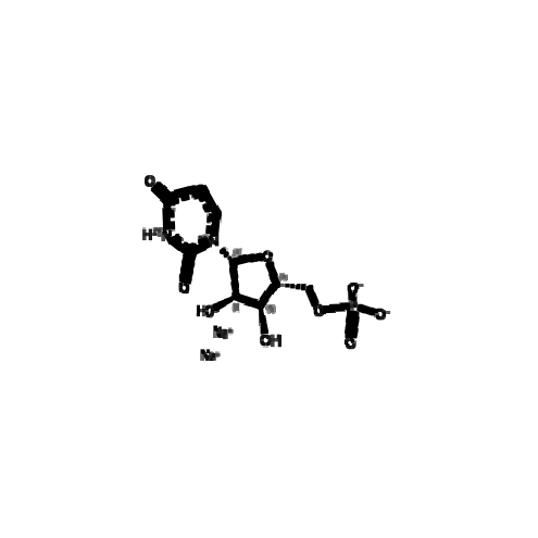 O=c1cc[15n]([C@@H]2O[C@H](COP(=O)([O-])[O-])[C@@H](O)[C@H]2O)c(=O)[15nH]1.[Na+].[Na+]